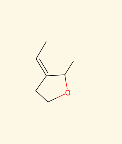 C/C=C1/CCOC1C